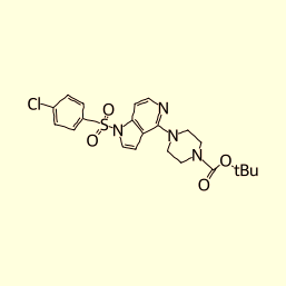 CC(C)(C)OC(=O)N1CCN(c2nccc3c2ccn3S(=O)(=O)c2ccc(Cl)cc2)CC1